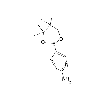 CC1(C)COB(c2cnc(N)nc2)OC1(C)C